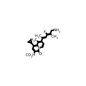 C/C(CN)=C(F)\C=C(/C)c1ccn2c(=O)c(C(=O)O)cc(C3CC3)c2c1C